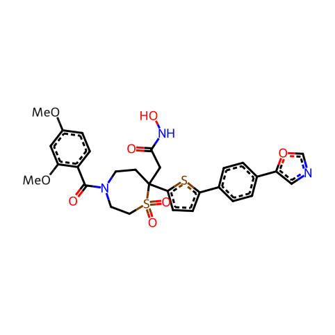 COc1ccc(C(=O)N2CCC(CC(=O)NO)(c3ccc(-c4ccc(-c5cnco5)cc4)s3)S(=O)(=O)CC2)c(OC)c1